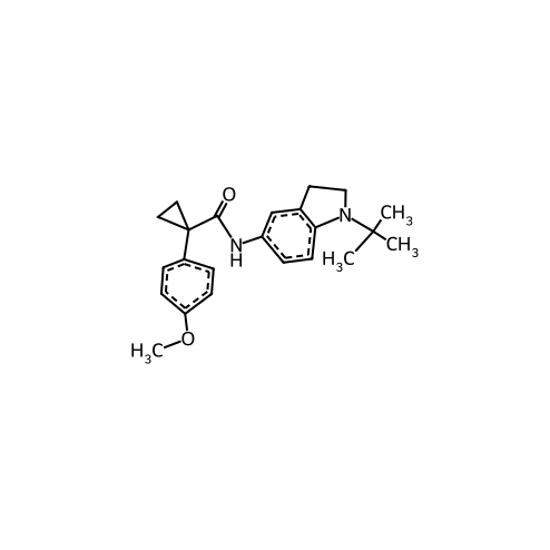 COc1ccc(C2(C(=O)Nc3ccc4c(c3)CCN4C(C)(C)C)CC2)cc1